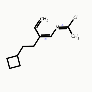 C=C/C(=C\N=C(/C)Cl)CCC1CCC1